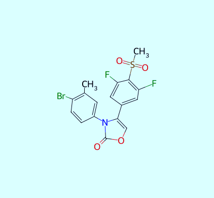 Cc1cc(-n2c(-c3cc(F)c(S(C)(=O)=O)c(F)c3)coc2=O)ccc1Br